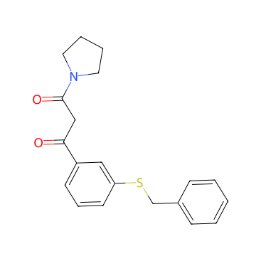 O=C(CC(=O)N1CCCC1)c1cccc(SCc2ccccc2)c1